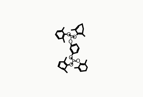 CC1=CCCC(C)=C1OP(Oc1cccc(OP(OC2=C(C)CCC=C2C)Oc2c(C)cccc2C)c1)Oc1c(C)cccc1C